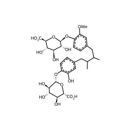 COc1cc(CC(C)C(C)Cc2ccc(O[C@@H]3O[C@H](C(=O)O)[C@@H](O)[C@H](O)[C@H]3O)c(O)c2)ccc1O[C@@H]1O[C@H](C(=O)O)[C@@H](O)[C@H](O)[C@H]1O